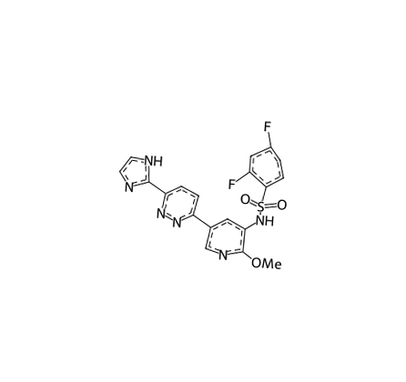 COc1ncc(-c2ccc(-c3ncc[nH]3)nn2)cc1NS(=O)(=O)c1ccc(F)cc1F